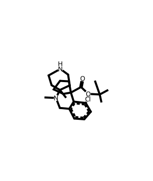 CN(Cc1cccc(Cl)c1C1(C(=O)OC(C)(C)C)CCCC1)C1(C)CCNCC1